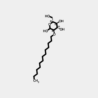 CCCCCCCCCCCCCCO[C@H]1C(O)O[C@H](CO)[C@@H](O)[C@@H]1O